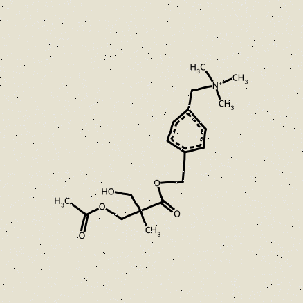 CC(=O)OCC(C)(CO)C(=O)OCc1ccc(C[N+](C)(C)C)cc1